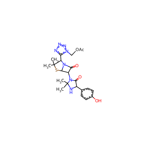 CC(=O)OCn1nnnc1C1N2C(=O)C(N3C(=O)C(c4ccc(O)cc4)NC3(C)C)C2SC1(C)C